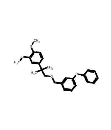 COc1ccc(C(C)(C)COCc2cccc(Oc3ccccc3)c2)cc1OC